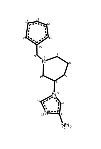 Nc1cn(C2CCCN(Cc3ccccc3)C2)cn1